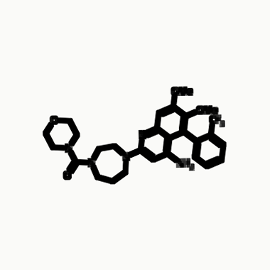 COc1cc2nc(N3CCCN(C(=O)N4CCOCC4)CC3)cc(N)c2c(-c2ccccc2C(F)(F)F)c1OC